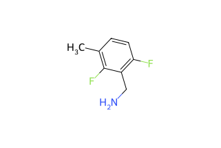 Cc1ccc(F)c(CN)c1F